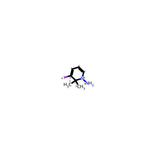 CC1(C)C(I)=CC=CN1N